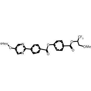 CCCCCCOc1cnc(-c2ccc(C(=O)Oc3ccc(C(=O)OC(COC)C(F)(F)F)cc3)cc2)nc1